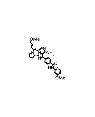 COC/C=C/C(=O)N1CCC[C@H]1c1nc(-c2ccc(C(=O)Nc3cc(OC)ccn3)cc2)c2c(N)nccn12